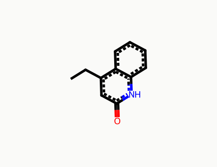 CCc1cc(=O)[nH]c2ccccc12